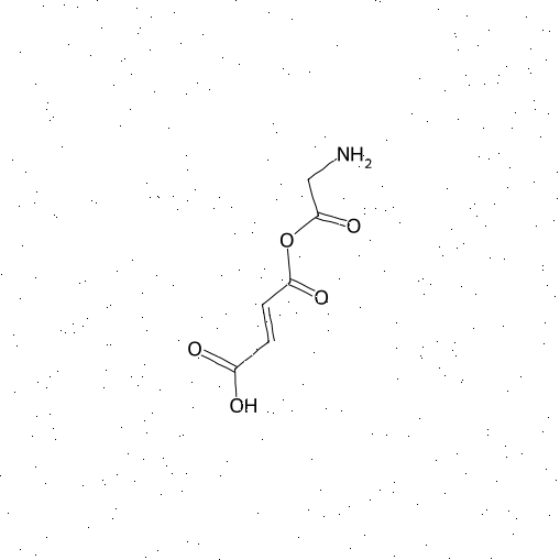 NCC(=O)OC(=O)C=CC(=O)O